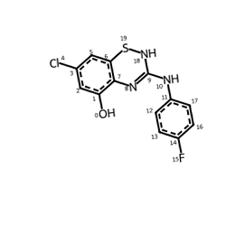 Oc1cc(Cl)cc2c1N=C(Nc1ccc(F)cc1)NS2